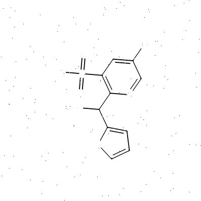 COC(c1cccs1)c1ncc(Br)cc1S(N)(=O)=O